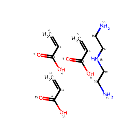 C=CC(=O)O.C=CC(=O)O.C=CC(=O)O.NCCNCCN